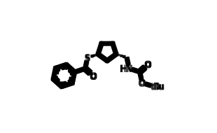 CC(C)(C)OC(=O)NC[C@H]1CC[C@@H](SC(=O)c2ccccc2)C1